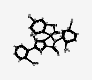 COc1ncncc1-c1nc2c(n1C(C)C)C1(C(=O)Nc3cc(Cl)ccc31)N(c1cc(Cl)ccc1C)C2=O